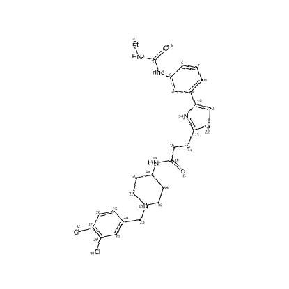 CCNC(=O)Nc1cccc(-c2csc(SCC(=O)NC3CCN(Cc4ccc(Cl)c(Cl)c4)CC3)n2)c1